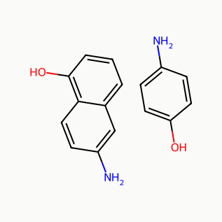 Nc1ccc(O)cc1.Nc1ccc2c(O)cccc2c1